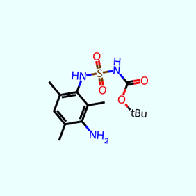 Cc1cc(C)c(NS(=O)(=O)NC(=O)OC(C)(C)C)c(C)c1N